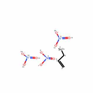 C=C[CH2][Sn+3].O=[N+]([O-])[O-].O=[N+]([O-])[O-].O=[N+]([O-])[O-]